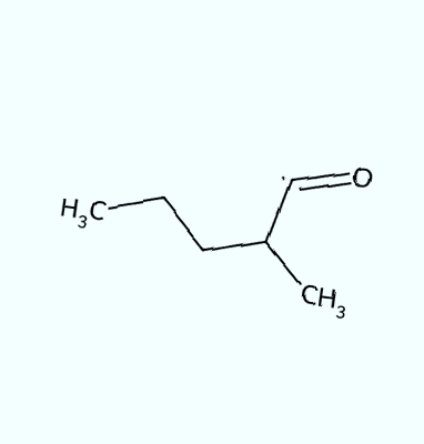 CCCC(C)[C]=O